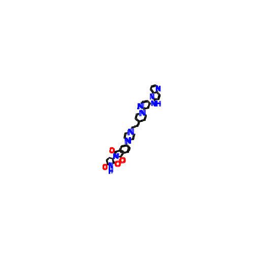 O=C1CCC(N2C(=O)c3ccc(N4CCN(CCC5CCN(c6cc(Nc7ccc8ncccc8n7)ccn6)CC5)CC4)cc3C2=O)C(=O)N1